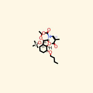 CCCCO[C@H]1CCC[C@]2(O[Si](C)(C)C)[C@H]1O[C@@H](N(/C=C(/C)C(C)=O)C(C)=O)[C@@H]2OC(C)=O